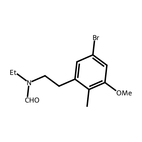 CCN(C=O)CCc1cc(Br)cc(OC)c1C